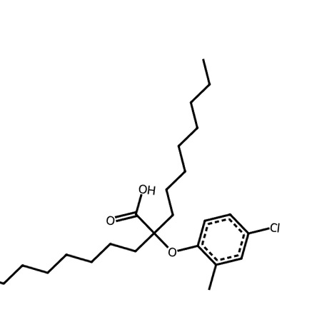 CCCCCCCCC(CCCCCCCC)(Oc1ccc(Cl)cc1C)C(=O)O